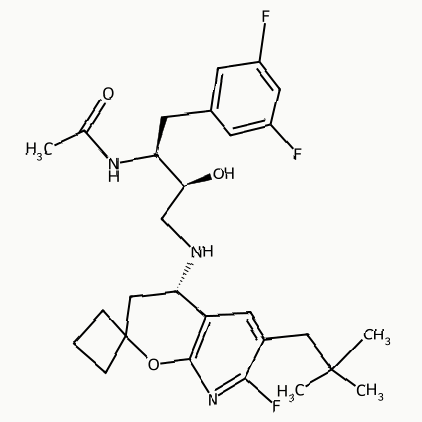 CC(=O)N[C@@H](Cc1cc(F)cc(F)c1)[C@@H](O)CN[C@H]1CC2(CCC2)Oc2nc(F)c(CC(C)(C)C)cc21